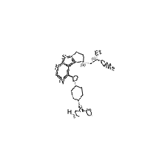 CC[C@@H](C[C@H]1CCc2sc3ncnc(O[C@H]4CC[C@H](N(C)Cl)CC4)c3c21)OC